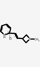 CN1CC(/C=C/[C@]2(Cl)C=CC=CN2)C1